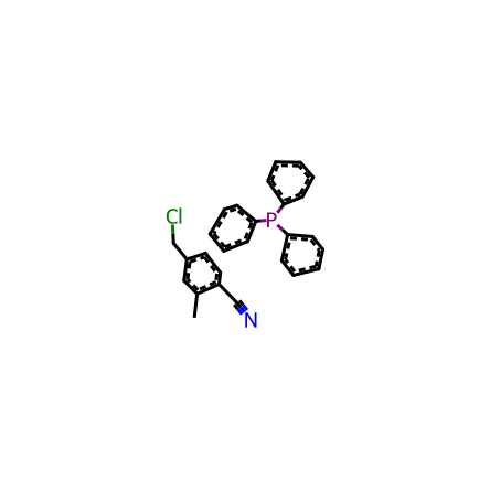 Cc1cc(CCl)ccc1C#N.c1ccc(P(c2ccccc2)c2ccccc2)cc1